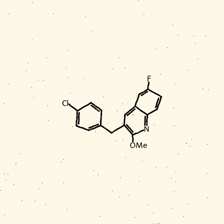 COc1nc2ccc(F)cc2cc1Cc1ccc(Cl)cc1